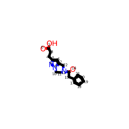 O=C(O)CCc1cc2n(n1)CCN(C(=O)Cc1ccccc1)C2